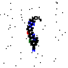 CCc1cnc(N2CCC(Oc3ccc(-n4ccc5cc(C#N)cc(F)c54)nc3)CC2)nc1